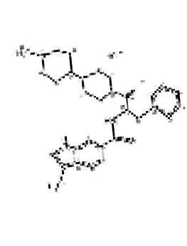 Cc1c[nH]c2cc(C(=O)N[C@H](Cc3ccccc3)C(=O)N3CCC(C4CCN(C)CC4)CC3)ccc12.Cl